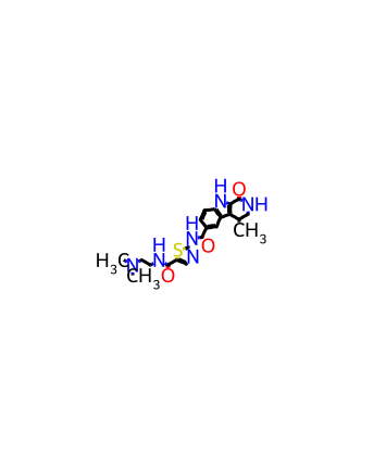 CC1CNC(=O)c2[nH]c3ccc(C(=O)Nc4ncc(C(=O)NCCN(C)C)s4)cc3c21